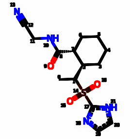 CC([C@@H]1CCCC[C@H]1C(=O)NCC#N)S(=O)(=O)c1ncc[nH]1